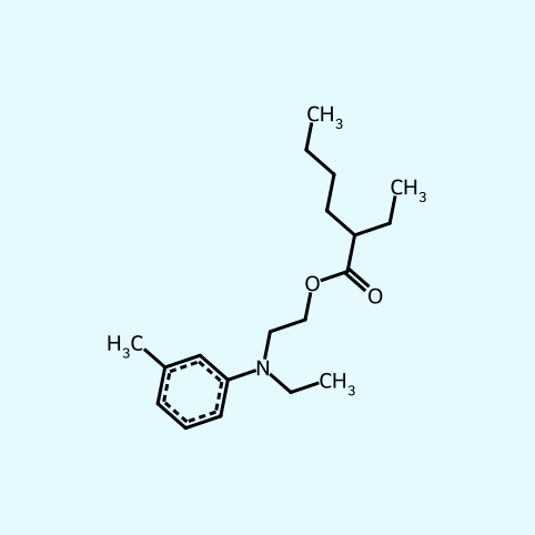 CCCCC(CC)C(=O)OCCN(CC)c1cccc(C)c1